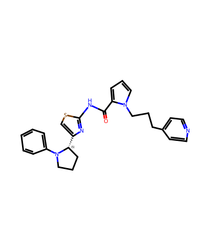 O=C(Nc1nc([C@@H]2CCCN2c2ccccc2)cs1)c1cccn1CCCc1ccncc1